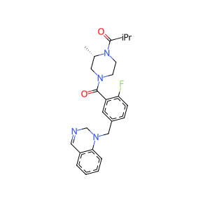 CC(C)C(=O)N1CCN(C(=O)c2cc(CN3CN=Cc4ccccc43)ccc2F)C[C@@H]1C